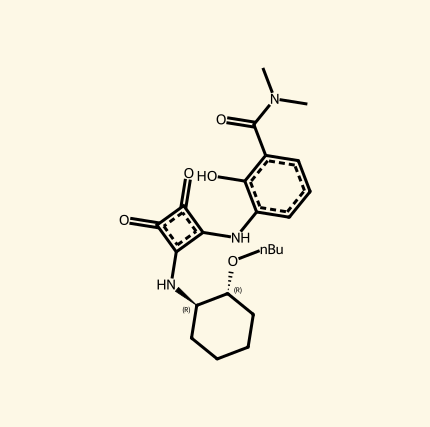 CCCCO[C@@H]1CCCC[C@H]1Nc1c(Nc2cccc(C(=O)N(C)C)c2O)c(=O)c1=O